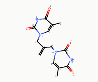 C=C(Cn1cc(C)c(=O)[nH]c1=O)Cn1cc(C)c(=O)[nH]c1=O